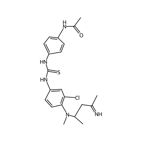 CC(=N)CC(C)N(C)c1ccc(NC(=S)Nc2ccc(NC(C)=O)cc2)cc1Cl